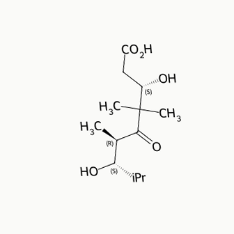 CC(C)[C@H](O)[C@@H](C)C(=O)C(C)(C)[C@@H](O)CC(=O)O